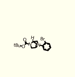 CC(C)(C)OC(=O)N1CC2C[C@H]1CN2c1ccccc1Br